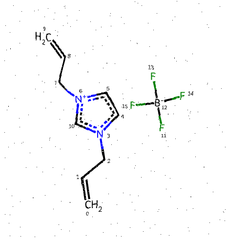 C=CCn1cc[n+](CC=C)c1.F[B-](F)(F)F